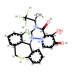 C[C@@H](N1CN([C@H]2c3ccccc3SCc3cccc(Cl)c32)n2ccc(=O)c(O)c2C1=O)C(F)(F)F